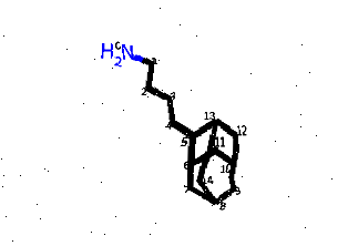 NCCCCC1C2CC3CC(C2)CC1C3